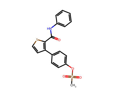 CS(=O)(=O)Oc1ccc(-c2ccsc2C(=O)Nc2ccccc2)cc1